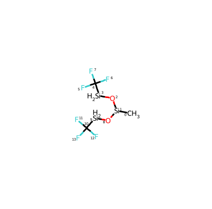 C[Si](O[SiH2]C(F)(F)F)O[SiH2]C(F)(F)F